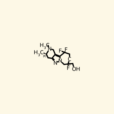 C[C@@H]1Cc2nn3c(c2CN1C)C(F)(F)CC[C@](F)(CO)C3